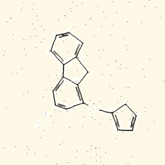 C1=CC[C]([Zr+2][c]2cccc3c2Cc2ccccc2-3)=C1.[F-].[F-]